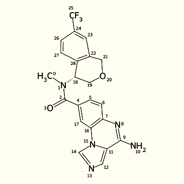 CN(C(=O)c1ccc2nc(N)c3cncn3c2c1)[C@H]1COCc2cc(C(F)(F)F)ccc21